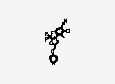 Cc1c(N2CC(COc3ccncc3)OC2C(F)(F)F)ccc(C#N)c1Cl